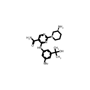 CC(C)(C)c1cc(Nc2nc(N3CCC[C@H](N)C3)ncc2C(N)=O)cc(C(C)(C)O)c1